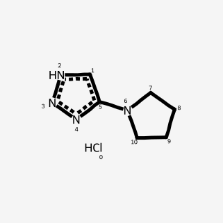 Cl.c1[nH]nnc1N1CCCC1